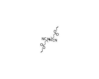 C=CCOC(=O)CCC(C)(C#N)/N=N/C(C)(C#N)CCC(=O)OCC=C